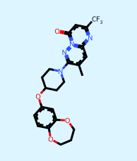 Cc1cc2nc(C(F)(F)F)cc(=O)n2nc1N1CCC(Oc2ccc3c(c2)OCCCO3)CC1